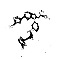 Cc1nc(-c2cc3c(cn2)nc(CC(C)C)n3[C@@H]2CCC[C@H](NC(=O)c3ncc(Cl)s3)C2)cs1